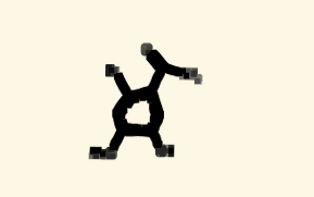 COc1cc(Br)c(C(N)=O)cc1O